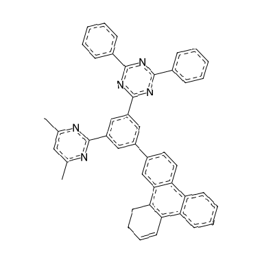 Cc1cc(C)nc(-c2cc(-c3ccc4c(c3)c3c(c5ccccc54)C=CCC3)cc(-c3nc(-c4ccccc4)nc(-c4ccccc4)n3)c2)n1